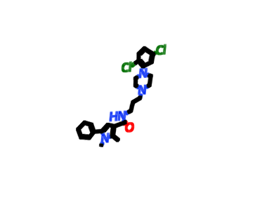 Cc1c(C(=O)NCCCN2CCN(c3cc(Cl)ccc3Cl)CC2)cc(C2=CCCC=C2)n1C